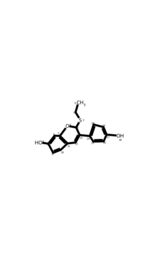 CCSC1Oc2cc(O)ccc2C=C1c1ccc(O)cc1